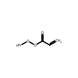 C=CC(=O)OOCCC